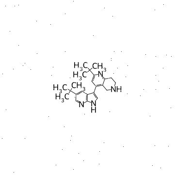 CC(C)(C)c1cnc2[nH]cc(-c3cc(C(C)(C)C)nc4c3CNCC4)c2c1